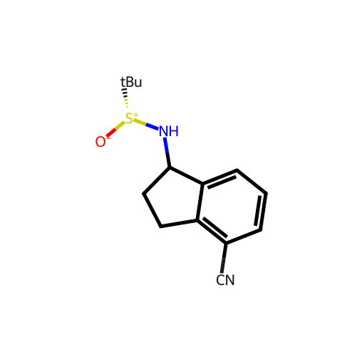 CC(C)(C)[S@@+]([O-])NC1CCc2c(C#N)cccc21